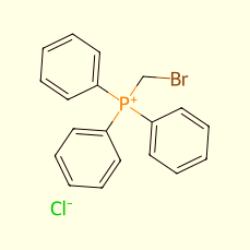 BrC[P+](c1ccccc1)(c1ccccc1)c1ccccc1.[Cl-]